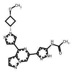 CO[C@H]1C[C@H](n2cc(-c3nc(-c4cc(NC(C)=O)[nH]n4)cn4nccc34)cn2)C1